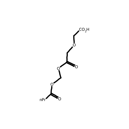 CCCC(=O)OCOC(=O)COCC(=O)O